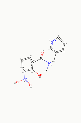 CN(Cc1cccnc1)C(=O)c1cccc([N+](=O)[O-])c1O